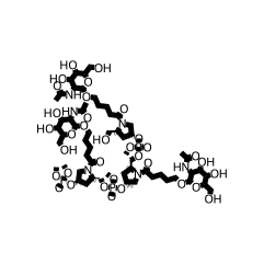 COP(=O)(OC)O[C@@H]1C[C@@H](COP(=O)(OC)O[C@@H]2C[C@@H](COP(=O)(OC)O[C@@H]3C[C@@H](CO)N(C(=O)CCCCOC4OC(CO)C(O)C(O)C4NC(C)=O)C3)N(C(=O)CCCCOC3OC(CO)C(O)C(O)C3NC(C)=O)C2)N(C(=O)CCCCOC2OC(CO)C(O)C(O)C2NC(C)=O)C1